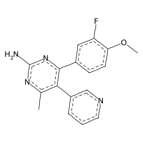 COc1ccc(-c2nc(N)nc(C)c2-c2cccnc2)cc1F